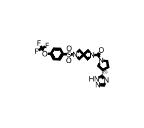 O=C(N1CC[C@H](c2ncn[nH]2)C1)N1CC2(C1)CN(S(=O)(=O)c1ccc(OC(F)(F)F)cc1)C2